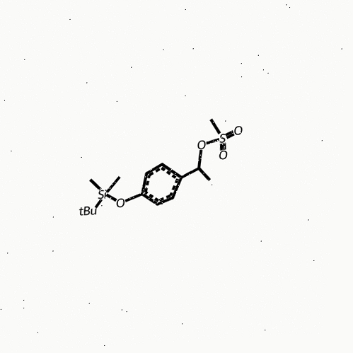 CC(OS(C)(=O)=O)c1ccc(O[Si](C)(C)C(C)(C)C)cc1